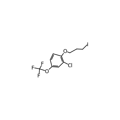 FC(F)(F)Oc1ccc(OCCCI)c(Cl)c1